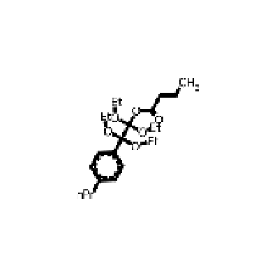 CC=CC(=O)OC(OCC)(OCC)C(OCC)(OCC)c1ccc(CCC)cc1